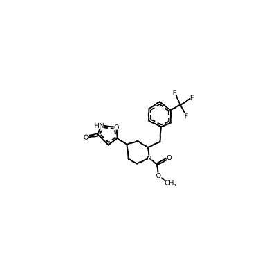 COC(=O)N1CCC(c2cc(=O)[nH]o2)CC1Cc1cccc(C(F)(F)F)c1